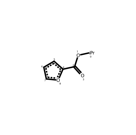 [CH2]C(C)OC(=O)c1ccco1